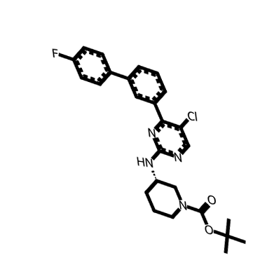 CC(C)(C)OC(=O)N1CCC[C@H](Nc2ncc(Cl)c(-c3cccc(-c4ccc(F)cc4)c3)n2)C1